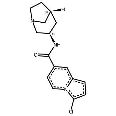 O=C(N[C@@H]1C[C@H]2CCN(C2)C1)c1ccn2c(Cl)ccc2c1